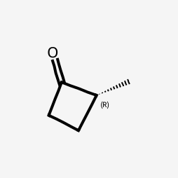 C[C@@H]1CCC1=O